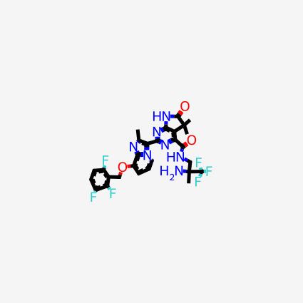 Cc1nc2c(OCc3c(F)ccc(F)c3F)cccn2c1-c1nc2c(c(C(=O)NCC(C)(N)C(F)(F)F)n1)C(C)(C)C(=O)N2